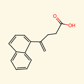 C=C(CCC(=O)O)c1cccc2ccccc12